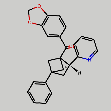 O=C(c1ccc2c(c1)OCO2)C12CC(c3ccccc3)(C[C@H]1c1ccccn1)C2